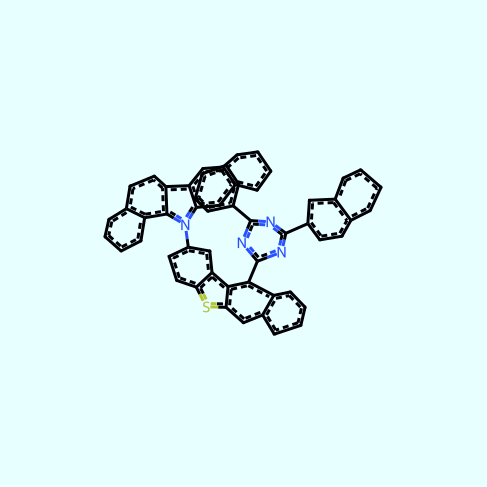 c1ccc(-c2nc(-c3ccc4ccccc4c3)nc(-c3c4ccccc4cc4sc5ccc(-n6c7cc8ccccc8cc7c7ccc8ccccc8c76)cc5c34)n2)cc1